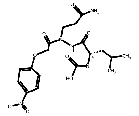 CC(C)C[C@H](NC(=O)O)C(=O)NN(CCC(N)=O)C(=O)COc1ccc([N+](=O)[O-])cc1